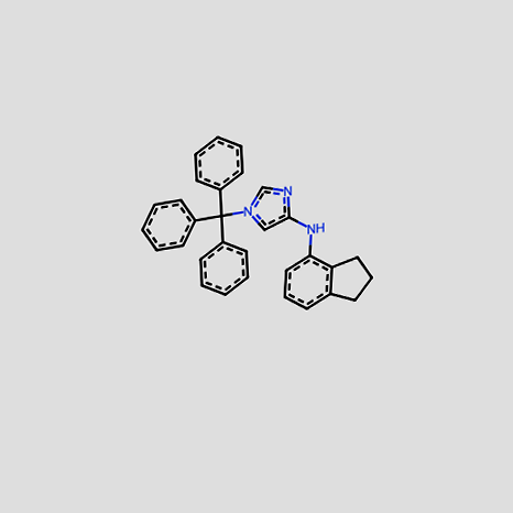 c1ccc(C(c2ccccc2)(c2ccccc2)n2cnc(Nc3cccc4c3CCC4)c2)cc1